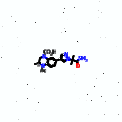 CC(=O)N1c2ccc(-c3cnn(C(C)(C)C(N)=O)c3)cc2N(C(=O)O)C[C@@H]1C